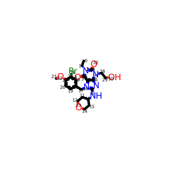 CCn1c(=O)c2c(nc(NC3CCOCC3)n2Cc2ccc(OC)c(Br)c2)n(CCO)c1=O